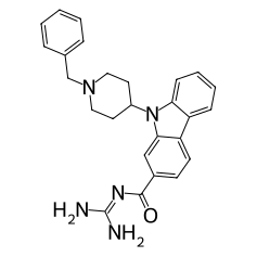 NC(N)=NC(=O)c1ccc2c3ccccc3n(C3CCN(Cc4ccccc4)CC3)c2c1